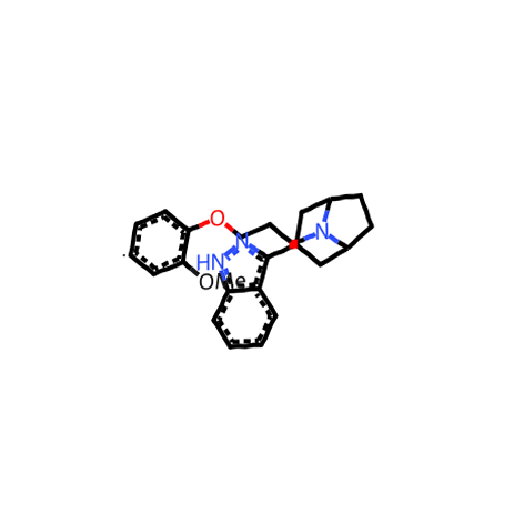 COc1c[c]ccc1OCCCN1C2CCC1CC(c1n[nH]c3ccccc13)C2